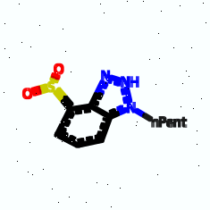 CCCCCn1[nH]nc2c(=S(=O)=O)cccc1-2